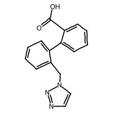 O=C(O)c1ccccc1-c1ccccc1Cn1ccnn1